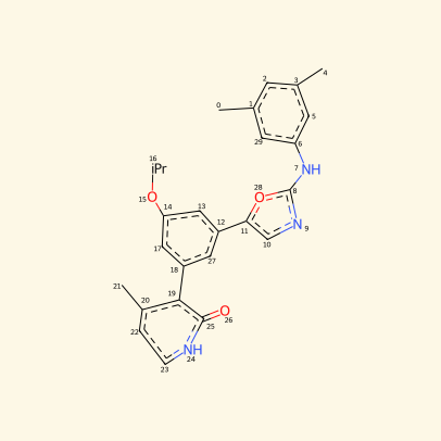 Cc1cc(C)cc(Nc2ncc(-c3cc(OC(C)C)cc(-c4c(C)cc[nH]c4=O)c3)o2)c1